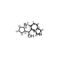 OC(c1c(Br)ccc2cncn12)C1CCCC1